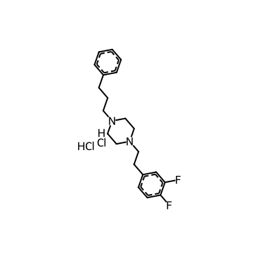 Cl.Cl.Fc1ccc(CCN2CCN(CCCc3ccccc3)CC2)cc1F